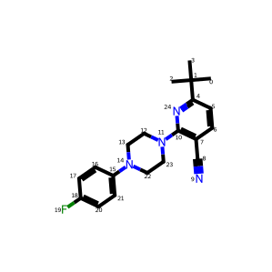 CC(C)(C)c1ccc(C#N)c(N2CCN(c3ccc(F)cc3)CC2)n1